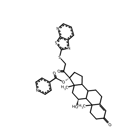 CC12CCC(=O)C=C1CCC1C2[C@@H](O)CC2(C)C1CC[C@]2(OC(=O)c1ccncc1)C(=O)CSc1nc2cccnc2s1